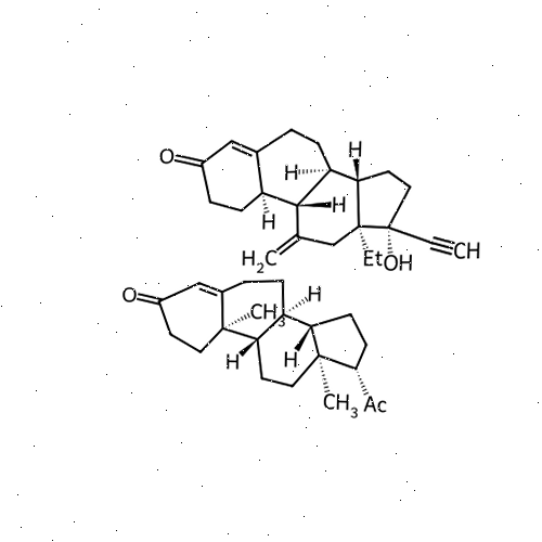 C#C[C@]1(O)CC[C@H]2[C@@H]3CCC4=CC(=O)CC[C@@H]4[C@H]3C(=C)C[C@@]21CC.CC(=O)[C@H]1CC[C@H]2[C@@H]3CCC4=CC(=O)CC[C@]4(C)[C@H]3CC[C@]12C